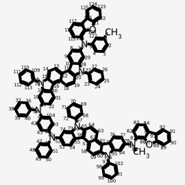 Cc1cccc(N(c2ccc3c4c5ccc6c(c5ccc4n(-c4ccccc4)c3c2)c2ccc(N(c3ccccc3)c3ccc(N(c4ccccc4)c4ccc5c7c8ccc9c(c8ccc7n(-c7ccccc7)c5c4)c4ccc(N(C)c5cccc7c5oc5ccccc57)cc4n9-c4ccccc4)cc3)cc2n6-c2ccccc2)c2cccc3c2oc2ccccc23)c1